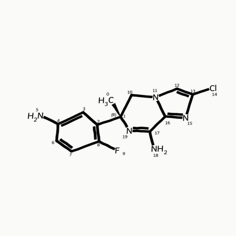 C[C@@]1(c2cc(N)ccc2F)Cn2cc(Cl)nc2C(N)=N1